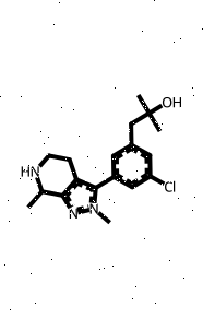 CC1NCCc2c1nn(C)c2-c1cc(Cl)cc(CC(C)(C)O)c1